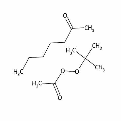 CC(=O)OOC(C)(C)C.CCCCCC(C)=O